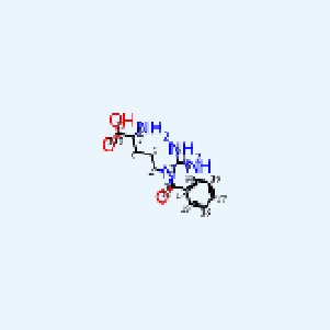 N=C(N)N(CCCC(N)C(=O)O)C(=O)c1ccccc1